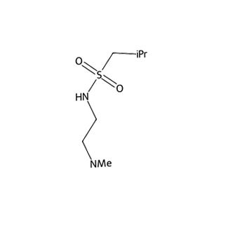 CNCCNS(=O)(=O)CC(C)C